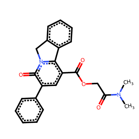 CN(C)C(=O)COC(=O)c1cc(-c2ccccc2)c(=O)n2c1-c1ccccc1C2